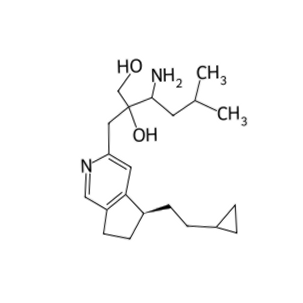 CC(C)CC(N)C(O)(CO)Cc1cc2c(cn1)CC[C@@H]2CCC1CC1